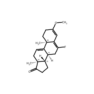 COC1=CC2=C(F)C[C@@H]3C(=CC[C@]4(C)C(=O)CC[C@@H]34)[C@@]2(C)CC1